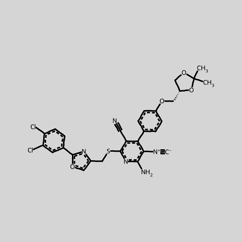 [C-]#[N+]c1c(N)nc(SCc2coc(-c3ccc(Cl)c(Cl)c3)n2)c(C#N)c1-c1ccc(OC[C@@H]2COC(C)(C)O2)cc1